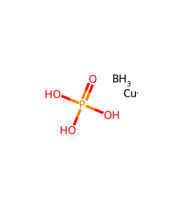 B.O=P(O)(O)O.[Cu]